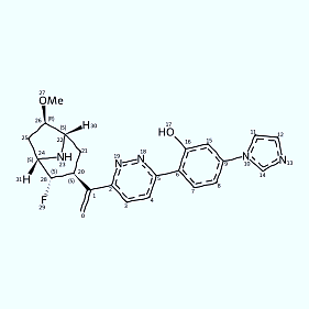 C=C(c1ccc(-c2ccc(-n3ccnc3)cc2O)nn1)[C@@H]1C[C@@H]2N[C@@H](C[C@H]2OC)[C@H]1F